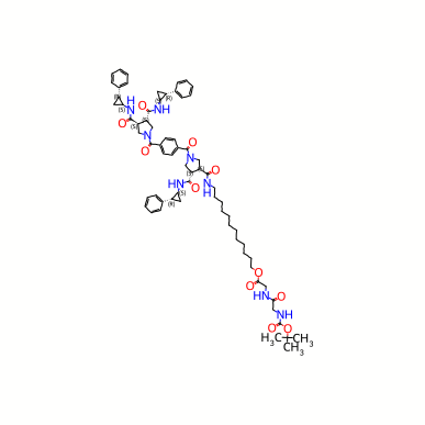 CC(C)(C)OC(=O)NCC(=O)NCC(=O)OCCCCCCCCCCCCNC(=O)[C@@H]1CN(C(=O)c2ccc(C(=O)N3C[C@@H](C(=O)N[C@H]4C[C@@H]4c4ccccc4)[C@H](C(=O)N[C@H]4C[C@@H]4c4ccccc4)C3)cc2)C[C@H]1C(=O)N[C@H]1C[C@@H]1c1ccccc1